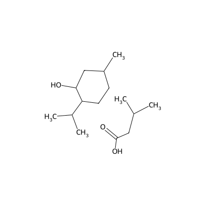 CC(C)CC(=O)O.CC1CCC(C(C)C)C(O)C1